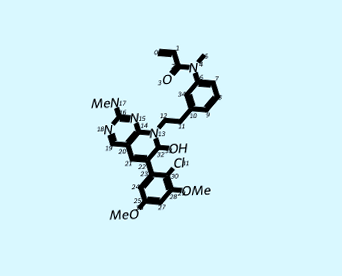 C=CC(=O)N(C)c1cccc(CCN2c3nc(NC)ncc3C=C(c3cc(OC)cc(OC)c3Cl)C2O)c1